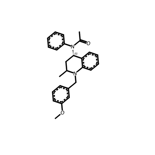 COc1cccc(CN2c3ccccc3[C@@H](N(C(C)=O)c3ccccc3)CC2C)c1